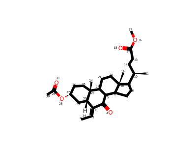 C/C=C1/C(=O)C2C3CCC([C@H](C)CCC(=O)OC)[C@@]3(C)CCC2[C@@]2(C)CC[C@@H](OC(C)=O)C[C@@H]12